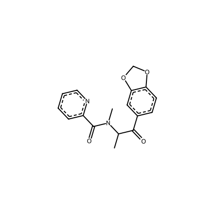 CC(C(=O)c1ccc2c(c1)OCO2)N(C)C(=O)c1ccccn1